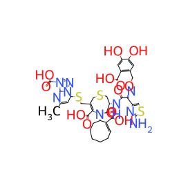 CC1=CC(SC/C2=C(\C(=O)O)N(C3CCCCC/C=C\3C(=O)O)C(=O)[C@@H](NC(=O)/C(=N\OCc3cc(O)c(O)cc3C(=O)O)c3csc(N)n3)CSC2)N2N=CN(C(=O)O)C2=N1